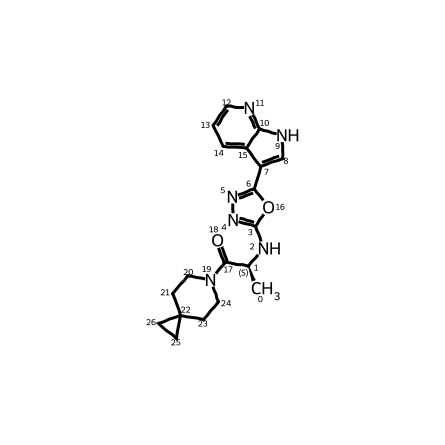 C[C@H](Nc1nnc(-c2c[nH]c3ncccc23)o1)C(=O)N1CCC2(CC1)CC2